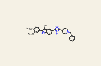 COc1ccc(-c2[nH]c3ccc(-c4nnc(C5CCN(Cc6ccccc6)CC5)[nH]4)cc3c2C(C)C)cc1OC